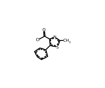 Cc1nc(C(=O)Cl)c(-c2ccccc2)s1